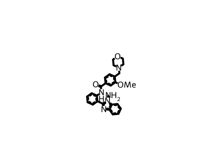 COc1cc(C(=O)Nc2ccccc2-c2nc3ccccc3n2N)ccc1CN1CCOCC1